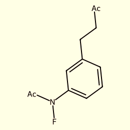 CC(=O)CCc1cccc(N(F)C(C)=O)c1